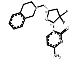 Nc1ccn([C@@H]2O[C@H](CN3CCc4ccccc4C3)CC2(F)F)c(=O)n1